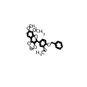 COc1cc(-c2oc3c(OC)c(OC)ccc3c(=O)c2OBr)ccc1OCc1ccccc1